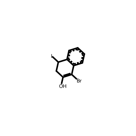 OC1=C(Br)c2ccccc2C(I)C1